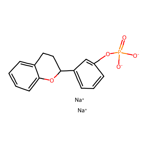 O=P([O-])([O-])Oc1cccc(C2CCc3ccccc3O2)c1.[Na+].[Na+]